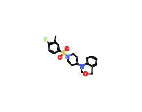 Cc1cc(S(=O)(=O)N2CCC(N3COCc4ccccc43)CC2)ccc1F